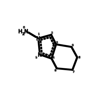 Nn1cc2c(n1)CCCC2